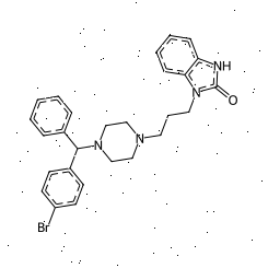 O=c1[nH]c2ccccc2n1CCCN1CCN(C(c2ccccc2)c2ccc(Br)cc2)CC1